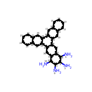 Nc1c(N)c(N)c2cc3c4cc5ccccc5cc4c4cc5ccccc5cc4c3cc2c1N